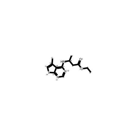 CCOC(=O)CC(C)Nc1ncnc2scc(C)c12